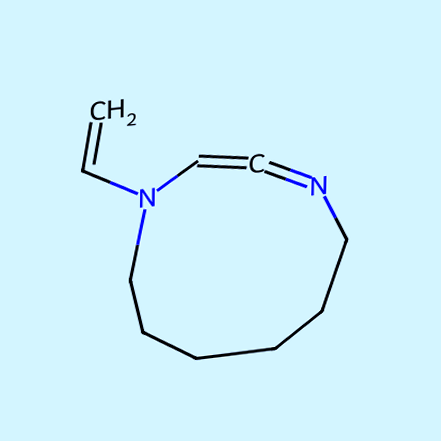 C=CN1C=C=NCCCCCC1